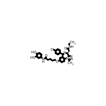 CCNC(=O)C[C@@H]1N=C(c2ccc(Cl)cc2)c2cc(OCCCCC(=O)Nc3ccc(O)c(O)c3)ccc2-n2c(C)nnc21